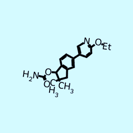 CCOc1ccc(-c2ccc3c(c2)CC(C)(C)C3OC(N)=O)cn1